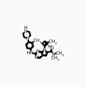 Cc1cc(Nc2ncc3cc(C(=O)N(C)C)n(C45CC(C4)[C@H]5C)c3n2)ccc1N1CCNCC1